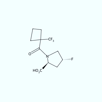 O=C(O)[C@@H]1C[C@@H](F)CN1C(=O)C1(C(F)(F)F)CCC1